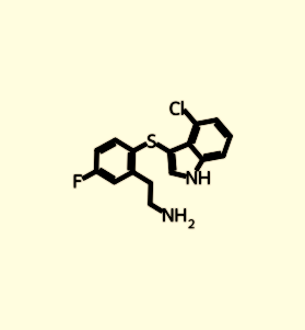 NCCc1cc(F)ccc1Sc1c[nH]c2cccc(Cl)c12